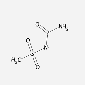 CS(=O)(=O)[N]C(N)=O